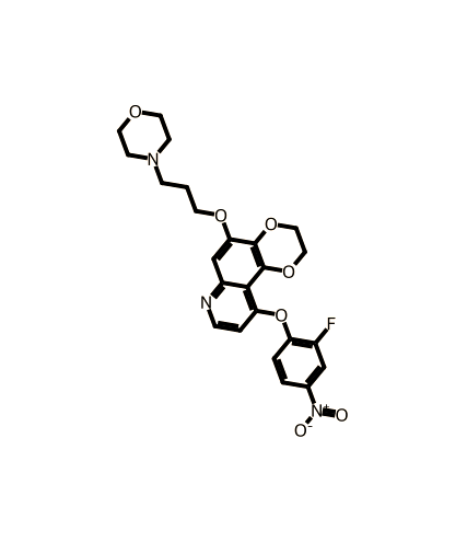 O=[N+]([O-])c1ccc(Oc2ccnc3cc(OCCCN4CCOCC4)c4c(c23)OCCO4)c(F)c1